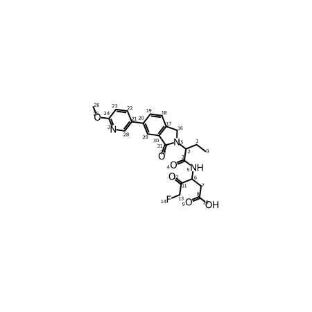 CCC(C(=O)NC(CC(=O)O)C(=O)CF)N1Cc2ccc(-c3ccc(OC)nc3)cc2C1=O